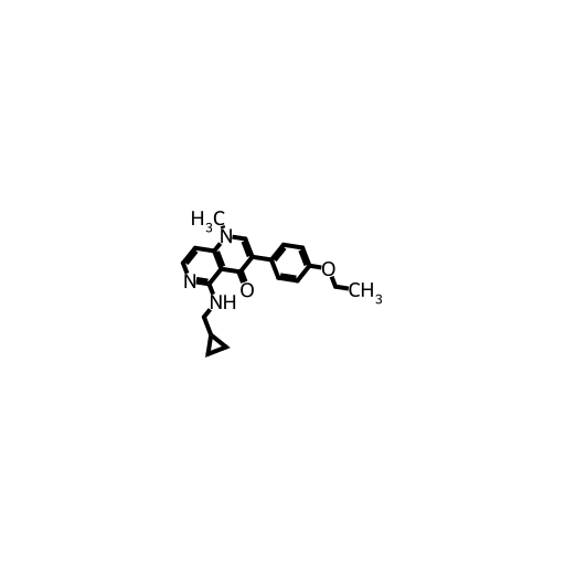 CCOc1ccc(-c2cn(C)c3ccnc(NCC4CC4)c3c2=O)cc1